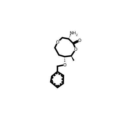 C[C@@H]1OC(=O)[C@@H](N)COCC[C@H]1OCc1ccccc1